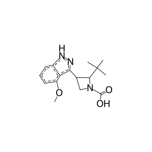 COc1cccc2[nH]nc(C3CN(C(=O)O)C3C(C)(C)C)c12